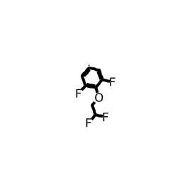 Fc1c[c]cc(F)c1OCC(F)F